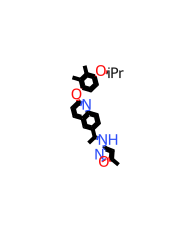 Cc1cc(NC(C)c2ccc3nc(Oc4ccc(OC(C)C)c(C)c4C)ccc3c2)no1